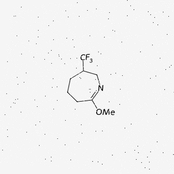 COC1=NCC(C(F)(F)F)CCC1